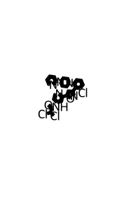 O=C(Nc1ccnc(-c2cc(-c3c(Cl)cccc3N3CCN(c4ccccn4)CC3)no2)c1)C(Cl)Cl